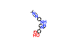 COc1cc(-c2ccc(Nc3ccc(N4CCN(C(C)C)CC4)cc3)c3nccn23)ccc1O